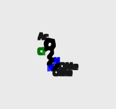 COc1ncc(CCc2ccc(C(C)=O)cc2Cl)nc1OC